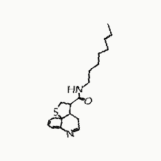 CCCCCCCCNC(=O)C1CSC23CC=CC=C2N=CCC13